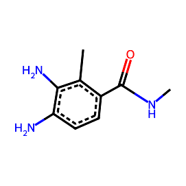 CNC(=O)c1ccc(N)c(N)c1C